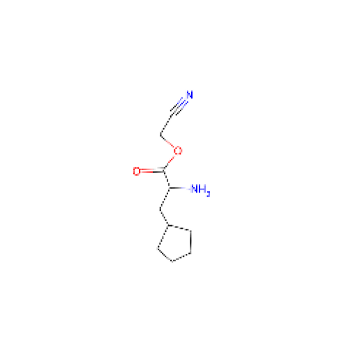 N#CCOC(=O)C(N)CC1CCCC1